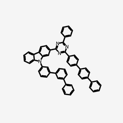 c1ccc(-c2ccc(-c3ccc(-c4nc(-c5ccccc5)nc(-c5ccc6c7ccccc7n(-c7cccc(-c8cccc(-c9ccccc9)c8)c7)c6c5)n4)cc3)cc2)cc1